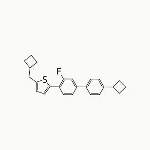 Fc1cc(-c2ccc(C3CCC3)cc2)ccc1-c1ccc(CC2CCC2)s1